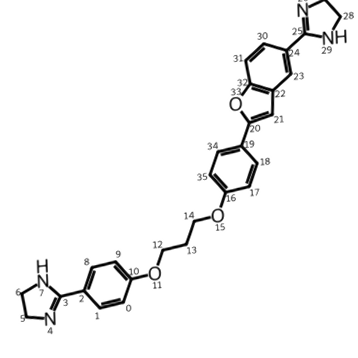 c1cc(C2=NCCN2)ccc1OCCCOc1ccc(-c2cc3cc(C4=NCCN4)ccc3o2)cc1